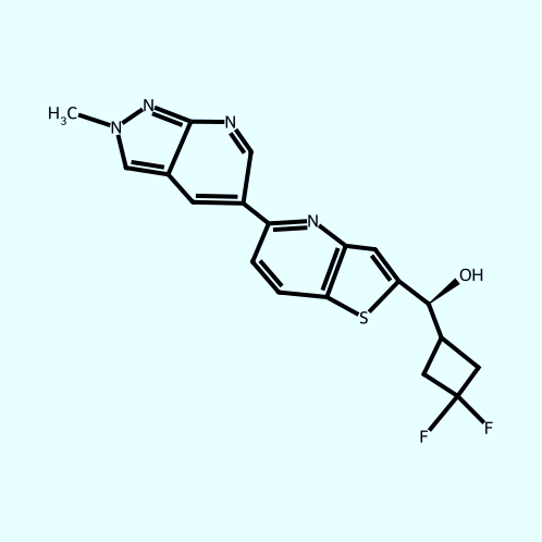 Cn1cc2cc(-c3ccc4sc([C@@H](O)C5CC(F)(F)C5)cc4n3)cnc2n1